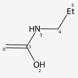 C=C(O)NCCC